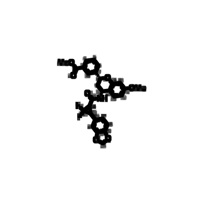 COC(=O)c1cccc([C@H]2C[C@@H](NC(=O)C3C(c4ccc5c(c4)OCO5)C3(F)F)c3ccc(OC)cc3O2)c1